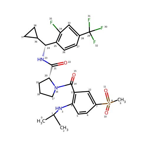 CC(C)Nc1ccc(S(C)(=O)=O)cc1C(=O)N1CCC[C@@H]1C(=O)N[C@@H](c1ccc(C(F)(F)F)cc1F)C1CC1